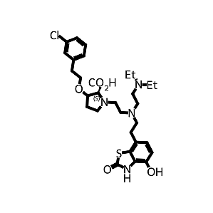 CCN(CC)CCN(CCc1ccc(O)c2[nH]c(=O)sc12)CCN1CCC(OCCc2cccc(Cl)c2)[C@H]1C(=O)O